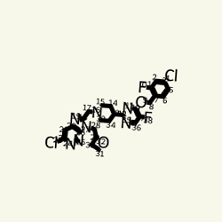 Fc1cc(Cl)ccc1COc1nc(C2CCN(Cc3nc4cc(Cl)nnc4n3CC3CCO3)CC2)ncc1F